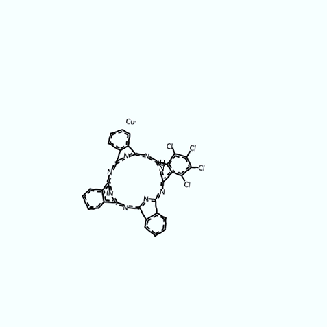 Clc1c(Cl)c(Cl)c2c3nc4nc(nc5[nH]c(nc6nc(nc([nH]3)c2c1Cl)-c1ccccc1-6)c1ccccc51)-c1ccccc1-4.[Cu]